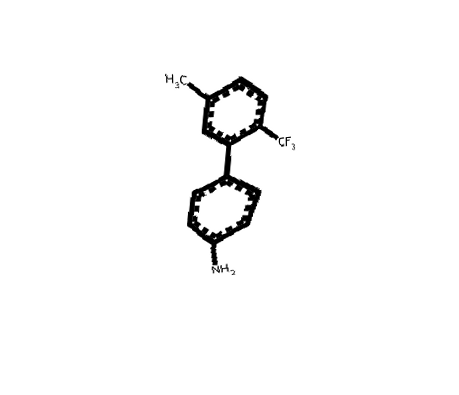 Cc1ccc(C(F)(F)F)c(-c2ccc(N)cc2)c1